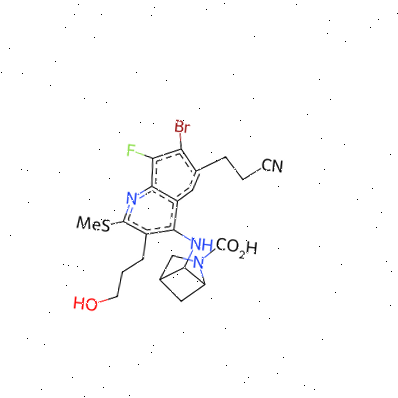 CSc1nc2c(F)c(Br)c(CCC#N)cc2c(NC2C3CC2N(C(=O)O)C3)c1CCCO